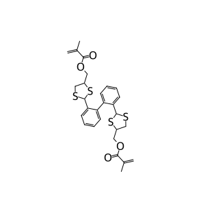 C=C(C)C(=O)OCC1CSC(c2ccccc2-c2ccccc2C2SCC(COC(=O)C(=C)C)S2)S1